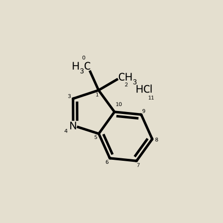 CC1(C)C=Nc2ccccc21.Cl